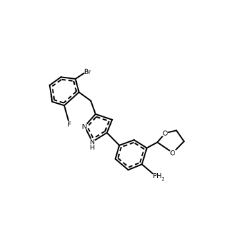 Fc1cccc(Br)c1Cc1cc(-c2ccc(P)c(C3OCCO3)c2)[nH]n1